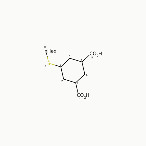 CCCCCCSC1CC(C(=O)O)CC(C(=O)O)C1